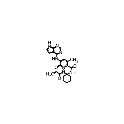 C=CC(=O)N1n2c(c(C)cc(Nc3ncnc4[nH]ccc34)c2=O)C(=O)NC12CCCCC2